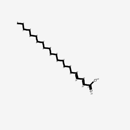 CCCCCCCCCCCCCCCCCC=CC=CC(=O)Cl